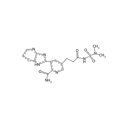 CN(C)S(=O)(=O)NC(=O)CCc1cnc(C(N)=O)c(-c2nc3ncccc3[nH]2)c1